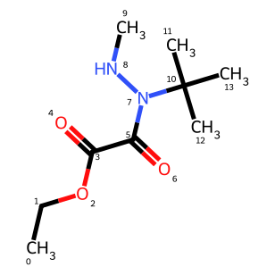 CCOC(=O)C(=O)N(NC)C(C)(C)C